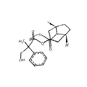 CC(C)(C)OC(=O)N1[C@@H]2CC[C@H]1CC(OC(=O)C(C)(CO)c1ccccc1)C2